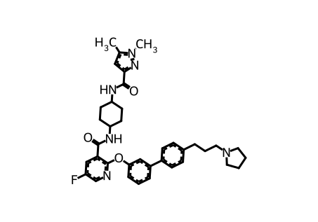 Cc1cc(C(=O)NC2CCC(NC(=O)c3cc(F)cnc3Oc3cccc(-c4ccc(CCCN5CCCC5)cc4)c3)CC2)nn1C